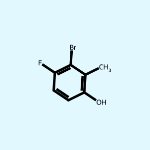 Cc1c(O)ccc(F)c1Br